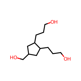 OCCCC1CC(CO)CC1CCCO